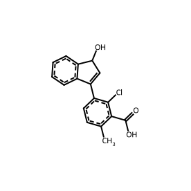 Cc1ccc(C2=CC(O)c3ccccc32)c(Cl)c1C(=O)O